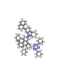 c1ccc(-c2cc(-c3nc(-c4ccccc4)nc(-c4ccccc4)n3)cc(-c3cc(-n4c5ccccc5c5ccc(-c6cccc7ccccc67)cc54)cc4c5ccccc5c5ccccc5c34)c2)cc1